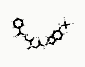 CN(CC(=O)Nn1cc2ccc(OC(F)(F)F)cc2n1)C(=O)CNC(=O)c1ccccc1